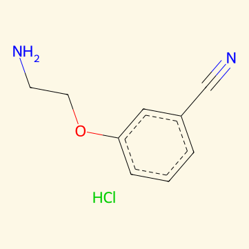 Cl.N#Cc1cccc(OCCN)c1